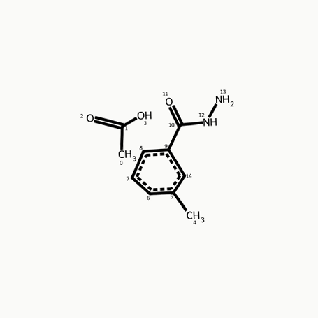 CC(=O)O.Cc1cccc(C(=O)NN)c1